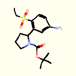 CCS(=O)(=O)c1ccc(N)cc1C1CCCN1C(=O)OC(C)(C)C